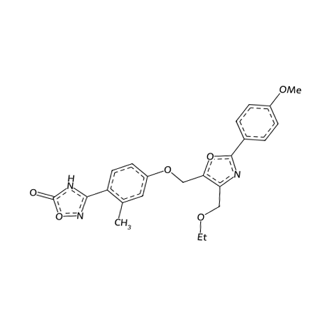 CCOCc1nc(-c2ccc(OC)cc2)oc1COc1ccc(-c2noc(=O)[nH]2)c(C)c1